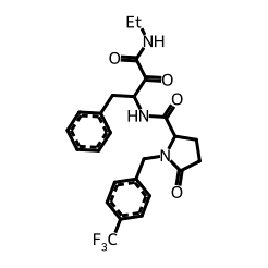 CCNC(=O)C(=O)C(Cc1ccccc1)NC(=O)C1CCC(=O)N1Cc1ccc(C(F)(F)F)cc1